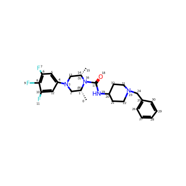 C[C@@H]1CN(c2cc(F)c(F)c(F)c2)C[C@H](C)N1C(=O)NC1CCN(Cc2ccccc2)CC1